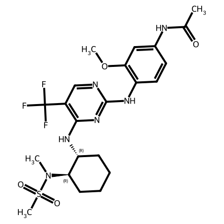 COc1cc(NC(C)=O)ccc1Nc1ncc(C(F)(F)F)c(N[C@@H]2CCCC[C@H]2N(C)S(C)(=O)=O)n1